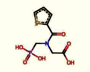 O=C(O)CN(CP(=O)(O)O)C(=O)c1cccs1